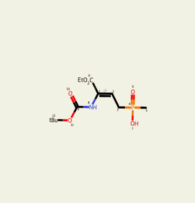 CCOC(=O)/C(=C/CP(C)(=O)O)NC(=O)OC(C)(C)C